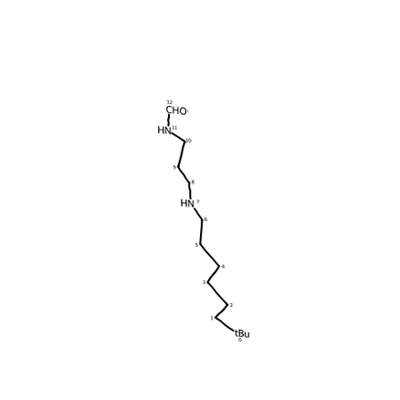 CC(C)(C)CCCCCCNCCCN[C]=O